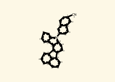 N#Cc1ccc2cc(-n3c4ccccc4c4c5c(ccc43)-c3cccc4cccc-5c34)ccc2c1